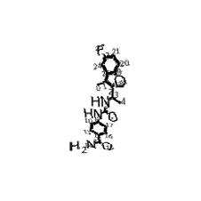 Cc1c(C(C)NC(=O)Nc2ccc(C(N)=O)cc2)oc2ccc(F)cc12